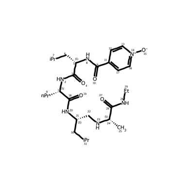 CCC[C@H](NC(=O)[C@H](CC(C)C)NC(=O)c1cc[n+]([O-])cc1)C(=O)N[C@H](CN[C@@H](C)C(=O)NCC)CC(C)C